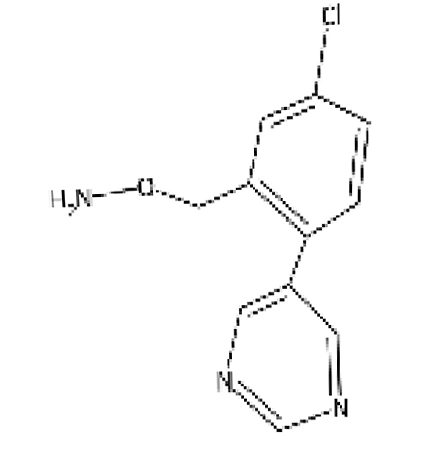 NOCc1cc(Cl)ccc1-c1cncnc1